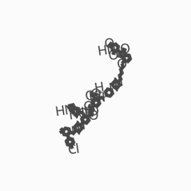 CC1(C)CCC(CN2CCN(c3ccc(C(=O)NS(=O)(=O)c4ccc(NC[C@H]5CC[C@@H](N6CCN(CCCCCOc7cccc8c7CN(C7CCC(=O)NC7=O)C8=O)CC6)CC5)c([N+](=O)[O-])c4)c(Oc4cnc5[nH]ccc5c4)c3)CC2)=C(c2ccc(Cl)cc2)C1